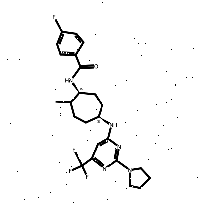 CC1CC[C@H](Nc2cc(C(F)(F)F)nc(N3CCCC3)n2)CC[C@@H]1NC(=O)c1ccc(F)cc1